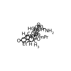 CCCC1O[C@@H]2C[C@@]34C(C)(C)[C@]35CCC3=CC(=O)C=C[C@]3(C)[C@]53C(CC)[C@H]3C[C@]4(C)[C@]2(C(=O)COP(=O)(O)OP(=O)(O)OCCN)O1